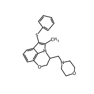 Cc1c(Sc2ccccc2)c2cccc3c2n1C(CN1CCOCC1)CO3